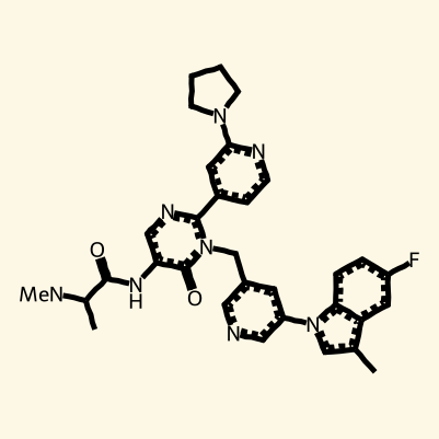 CNC(C)C(=O)Nc1cnc(-c2ccnc(N3CCCC3)c2)n(Cc2cncc(-n3cc(C)c4cc(F)ccc43)c2)c1=O